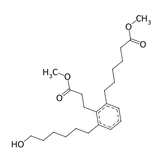 COC(=O)CCCCCc1cccc(CCCCCCO)c1CCC(=O)OC